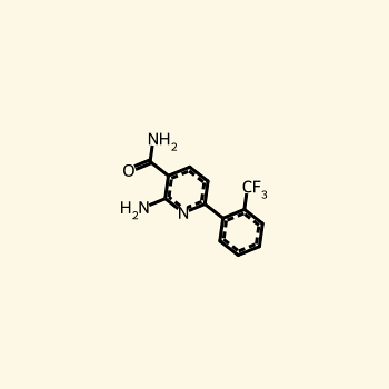 NC(=O)c1ccc(-c2ccccc2C(F)(F)F)nc1N